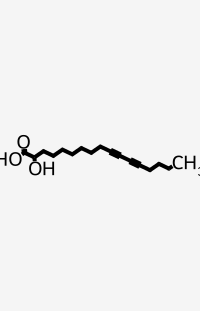 CCCCC#CC#CCCCCCCCC(O)C(=O)O